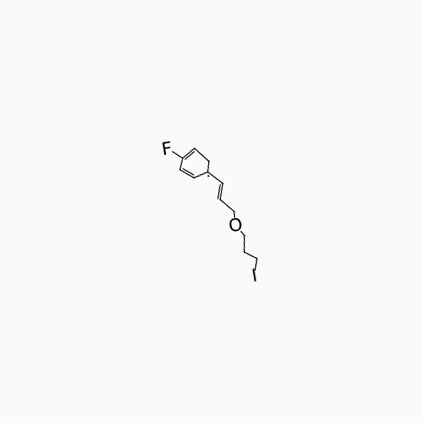 FC1=CC[C](C=CCOCCCI)C=C1